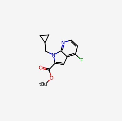 CC(C)(C)OC(=O)c1cc2c(F)ccnc2n1CC1CC1